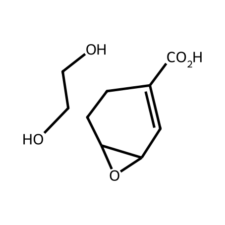 O=C(O)C1=CC2OC2CC1.OCCO